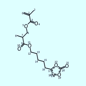 C=C(C)C(=O)OCC(C)C(=O)OCCCCCc1noc(=O)o1